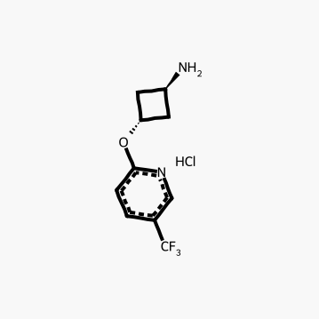 Cl.N[C@H]1C[C@H](Oc2ccc(C(F)(F)F)cn2)C1